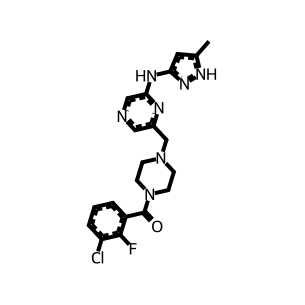 Cc1cc(Nc2cncc(CN3CCN(C(=O)c4cccc(Cl)c4F)CC3)n2)n[nH]1